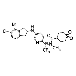 CN(C(=O)C1CCS(=O)(=O)CC1)[C@@H](c1ccc(NC2Cc3ccc(Cl)c(Br)c3C2)cn1)C(F)(F)F